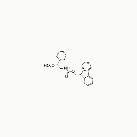 O=C(NCC(C(=O)O)c1ccccc1)OCC1c2ccccc2-c2ccccc21